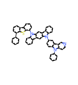 c1ccc(-c2cccc3c2sc2c(-n4c5ccccc5c5cc6c(cc54)c4ccccc4n6-c4ccc5c(c4)c4cnccc4n5-c4ccccc4)cccc23)cc1